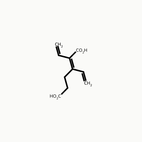 C=C/C(CCC(=O)O)=C(/C=C)C(=O)O